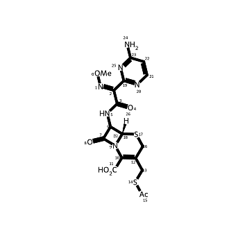 CON=C(C(=O)NC1C(=O)N2C(C(=O)O)=C(CSC(C)=O)CS[C@@H]12)c1nccc(N)n1